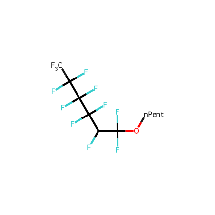 CCCCCOC(F)(F)C(F)C(F)(F)C(F)(F)C(F)(F)C(F)(F)F